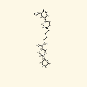 O=C(NCCCCN1CCN(c2cccc(C(F)(F)F)c2)CC1)c1ccc(-c2ccccn2)cc1